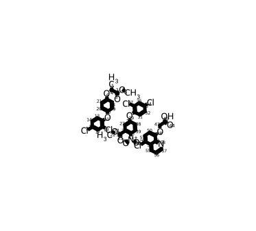 COC(=O)C(C)Oc1ccc(Oc2ccc(Cl)cc2Cl)cc1.COC(=O)c1cc(Oc2ccc(Cl)cc2Cl)ccc1[N+](=O)[O-].O=C(O)COc1ccc(Cl)c2cccnc12